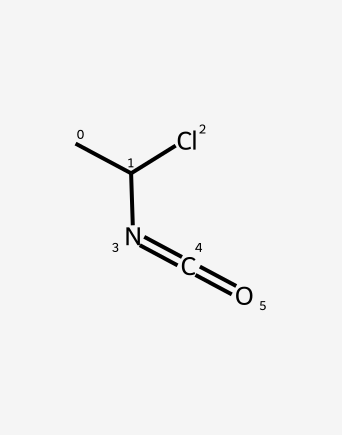 CC(Cl)N=C=O